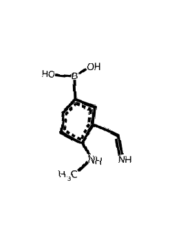 CNc1ccc(B(O)O)cc1C=N